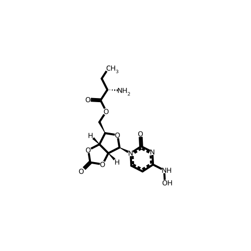 CC[C@H](N)C(=O)OC[C@H]1O[C@@H](n2ccc(NO)nc2=O)[C@@H]2OC(=O)O[C@@H]21